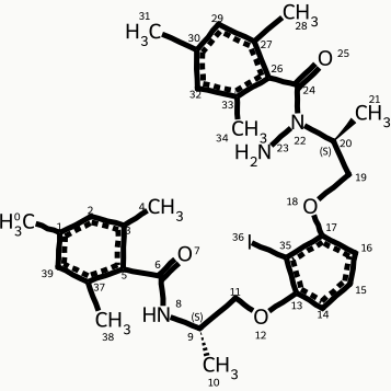 Cc1cc(C)c(C(=O)N[C@@H](C)COc2cccc(OC[C@H](C)N(N)C(=O)c3c(C)cc(C)cc3C)c2I)c(C)c1